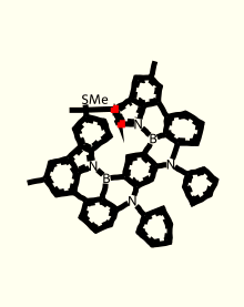 CSc1ccc2c(c1)c1cc(C)cc3c1n2B1c2cc4c(cc2N(c2ccccc2)c2cccc-3c21)N(c1ccccc1)c1cccc2c1B4n1c3ccc(C)cc3c3cc(C)cc-2c31